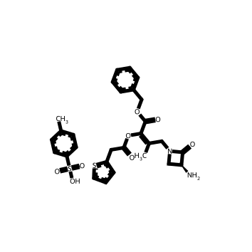 CC(CN1C[C@H](N)C1=O)=C(OC(=O)Cc1cccs1)C(=O)OCc1ccccc1.Cc1ccc(S(=O)(=O)O)cc1